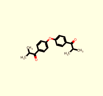 CC(C)C(=O)c1ccc(Oc2ccc(C(=O)C(C)C)cc2)cc1